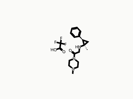 CN1CCN(C(=O)CN[C@]2(C)C[C@@H]2c2ccccc2)CC1.O=C(O)C(F)(F)F